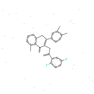 C=C(CC1=C(c2ccc(C)c(C)c2)Cc2cccc(C)c2C1=C)c1cc(F)ccc1F